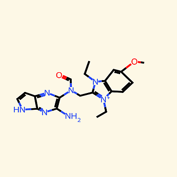 CCn1c(CN(C=O)c2nc3cc[nH]c3nc2N)[n+](CC)c2ccc(OC)cc21